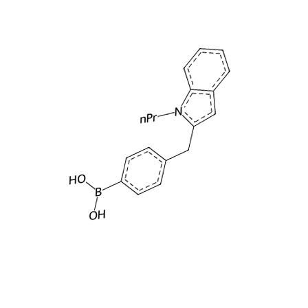 CCCn1c(Cc2ccc(B(O)O)cc2)cc2ccccc21